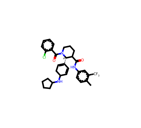 Cc1ccc(NC(=O)C2CCCN(C(=O)c3ccccc3Cl)[C@H]2C2=CCC(NC3CCCC3)C=C2)cc1C(F)(F)F